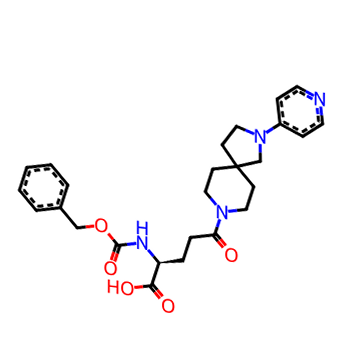 O=C(N[C@@H](CCC(=O)N1CCC2(CC1)CCN(c1ccncc1)C2)C(=O)O)OCc1ccccc1